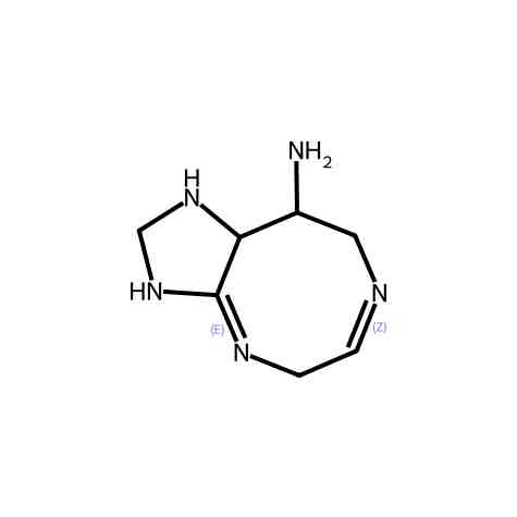 NC1C/N=C\C/N=C2/NCNC21